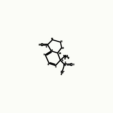 NC1([N+](=O)[O-])C=CC=C2C(=O)CCCC21